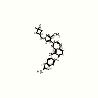 Cc1nc2ccc(Oc3ccc4ncc(-c5cn(CC6CC(F)(F)C6)nc5C)nc4c3Cl)cc2[nH]1